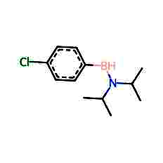 CC(C)N(Bc1ccc(Cl)cc1)C(C)C